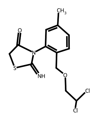 Cc1ccc(COCC(Cl)Cl)c(N2C(=N)SCC2=O)c1